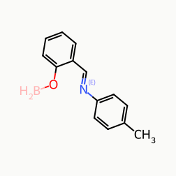 BOc1ccccc1/C=N/c1ccc(C)cc1